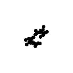 c1ccc(-c2ccc3c(-n4c5cc(-c6ccccc6)ccc5c5cc6ccccc6cc54)nc(-c4ccc5c(c4)c4ccccc4n5-c4ccc(-c5ccc6cc7c(cc6c5)c5ccc(-c6ccccc6)cc5n7-c5nc(-c6ccc7c(c6)c6ccccc6n7-c6ccc7ccccc7c6)nc6cc(-c7ccccc7)ccc56)cc4)nc3c2)cc1